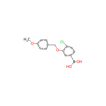 COc1ccc(COc2cc(B(O)O)ccc2Cl)cc1